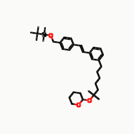 CC(C)(CCCCCc1cccc(C=Cc2ccc(CO[Si](C)(C)C(C)(C)C)cc2)c1)OC1CCCCO1